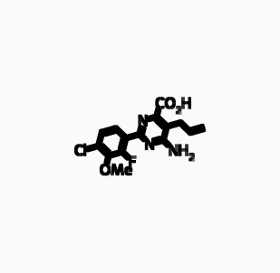 C=CCc1c(N)nc(-c2ccc(Cl)c(OC)c2F)nc1C(=O)O